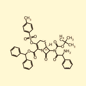 Cc1ccc(S(=O)(=O)OC2=C(C(=O)OC(c3ccccc3)c3ccccc3)N3C(=O)C(N(C(=O)OC(C)(C)C)C(=O)C(N)c4ccccc4)[C@@H]3SC2)cc1